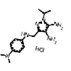 CC(C)n1nc(CNc2ccc(N(C)C)cc2)c(N)c1N.Cl